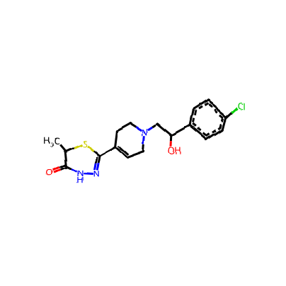 CC1SC(C2=CCN(CC(O)c3ccc(Cl)cc3)CC2)=NNC1=O